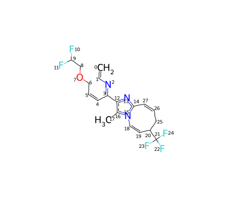 C=C/N=C(\C=C/COCC(F)F)c1nc2n(c1C)C=CC(C(F)(F)F)CC=C2